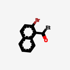 CCC(=O)c1c(Br)ccc2ccccc12